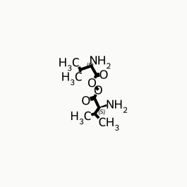 CC(C)[C@H](N)C(=O)OOC(=O)[C@@H](N)C(C)C